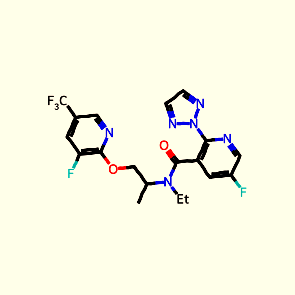 CCN(C(=O)c1cc(F)cnc1-n1nccn1)C(C)COc1ncc(C(F)(F)F)cc1F